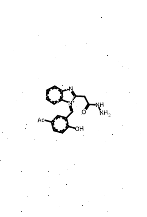 CC(=O)c1ccc(O)c(C=[N+]2C(CC(=O)NN)=Nc3ccccc32)c1